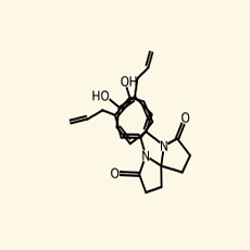 C=CCc1cc(N2C(=O)CCC23CCC(=O)N3c2ccc(O)c(CC=C)c2)ccc1O